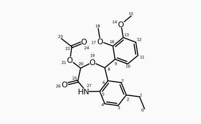 CCc1ccc2c(c1)C(c1cccc(OC)c1OC)OC(OC(C)=O)C(=O)N2